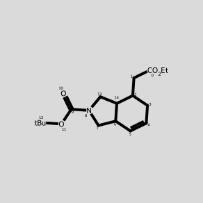 CCOC(=O)CC1CC=CC2CN(C(=O)OC(C)(C)C)CC21